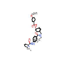 CCCCCCCCOc1ccc(C(=O)Oc2ccc(CN(CC(=O)O)C(=O)c3ccc(NC(=O)c4cccc(C(F)(F)F)n4)cc3)cc2)cc1